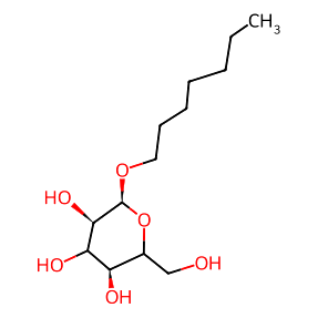 CCCCCCCO[C@H]1OC(CO)[C@@H](O)C(O)[C@H]1O